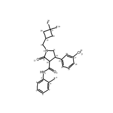 O=C(Nc1ccccc1F)C1C(=O)N(CC2CC(F)(F)C2)CC1c1cccc(C(F)(F)F)c1